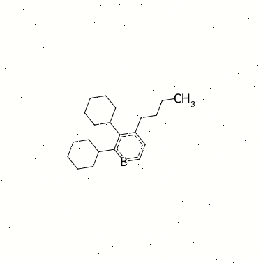 CCCCc1ccbc(C2CCCCC2)c1C1CCCCC1